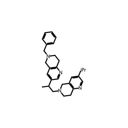 CC(C)c1cnc2c(c1)CN(CC(C)c1cnc3c(c1)CN(Cc1ccccc1)CC3)CC2